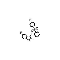 CC1=C(Cc2cccnc2S(=O)(=O)c2ccc(F)cc2)c2cc(F)ccc2[N]1